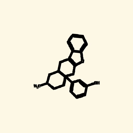 CN1CCC2(c3cccc(O)c3)Cc3oc4ccccc4c3CC2C1